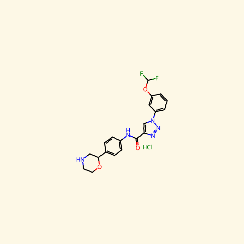 Cl.O=C(Nc1ccc(C2CNCCO2)cc1)c1cn(-c2cccc(OC(F)F)c2)nn1